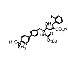 CN(C)c1ccc(-c2ccc(C[C@H](NC(=O)OC(C)(C)C)[C@@H](O)C[C@@H](Cc3ccccc3F)C(=O)O)cc2)cn1